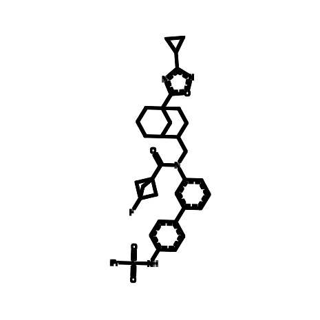 CC(C)S(=O)(=O)Nc1ccc(-c2cccc(N(CC3CCC4(c5nc(C6CC6)no5)CCCC3C4)C(=O)C34CC(F)(C3)C4)c2)cc1